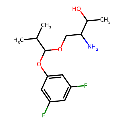 CC(C)C(OCC(N)C(C)O)Oc1cc(F)cc(F)c1